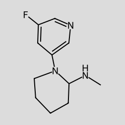 CNC1CCCCN1c1cncc(F)c1